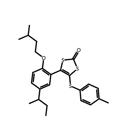 CCC(C)c1ccc(OCCC(C)C)c(-c2sc(=O)sc2Sc2ccc(C)cc2)c1